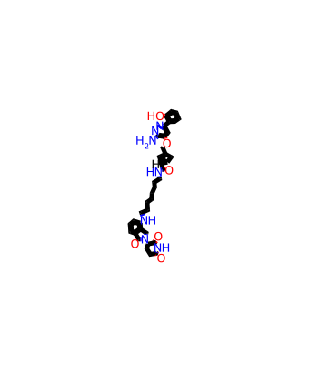 Nc1nnc(-c2ccccc2O)cc1OCC12CC(C1)[C@H](C(=O)NCCCCCCCCNc1cccc3c1CN(C1CCC(=O)NC1=O)C3=O)C2